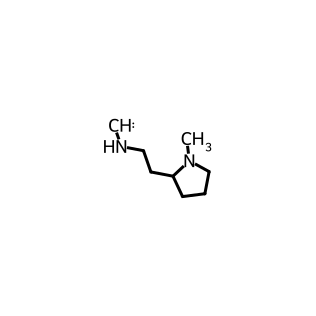 [CH]NCCC1CCCN1C